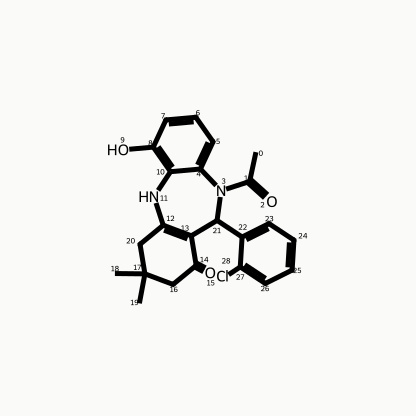 CC(=O)N1c2cccc(O)c2NC2=C(C(=O)CC(C)(C)C2)C1c1ccccc1Cl